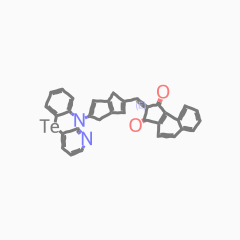 O=C1/C(=C\C2=CC3=C(C=C(N4c5ccccc5[Te]c5cccnc54)C3)C2)C(=O)c2c1ccc1ccccc21